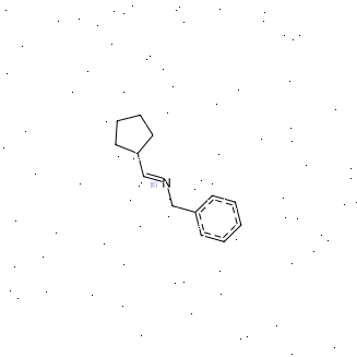 C(=N\Cc1ccccc1)/C1CCCC1